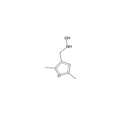 Cc1cc(CNO)c(C)o1